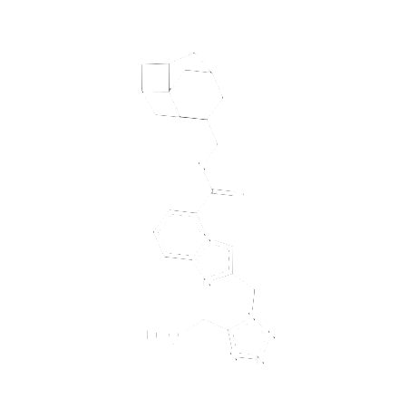 CCOC(=O)Cc1nnnn1Cc1cn2c(C(=O)NCC34CC5CC6CC(C3)C6(C5)C4)cccc2n1